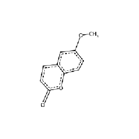 COc1ccc2oc(=O)ccc2c1